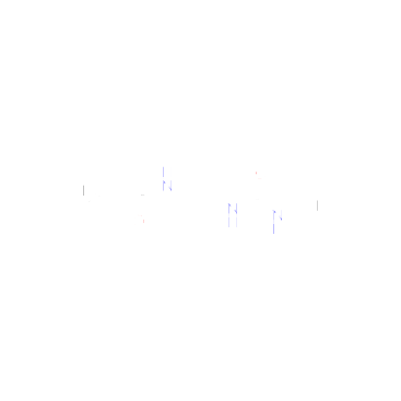 C=CC(=O)NCCNC(=O)NC